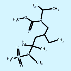 CCC(CN(C(=O)OC)C(C)C)CC(C)(C)N(C)S(C)(=O)=O